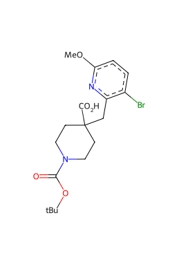 COc1ccc(Br)c(CC2(C(=O)O)CCN(C(=O)OC(C)(C)C)CC2)n1